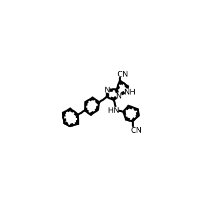 N#Cc1cccc(Nc2c(-c3ccc(-c4ccccc4)cc3)nc3c(C#N)c[nH]n23)c1